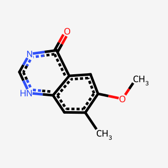 COc1cc2c(=O)nc[nH]c2cc1C